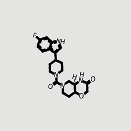 O=C1COC2CCN(C(=O)N3CCC(c4c[nH]c5cc(F)ccc45)CC3)C[C@H]2N1